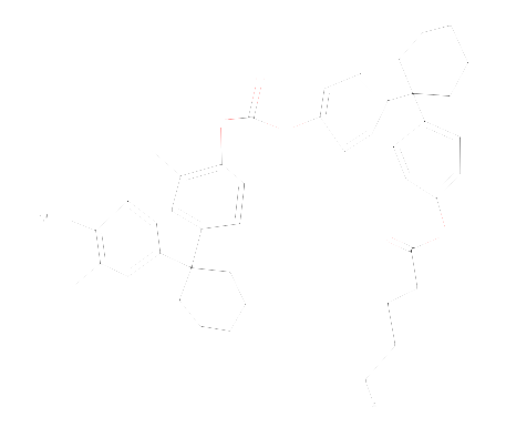 COc1ccc(C2(c3ccc(OC(=O)Oc4ccc(C5(c6ccc(OC(=O)CCCCC(C)=O)cc6)CCCCC5)cc4)c(C)c3)CCCCC2)cc1C